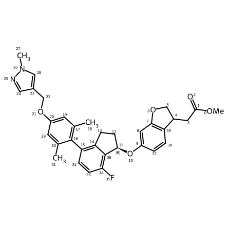 COC(=O)CC1COc2cc(O[C@@H]3CCc4c(-c5c(C)cc(OCc6cnn(C)c6)cc5C)ccc(F)c43)ccc21